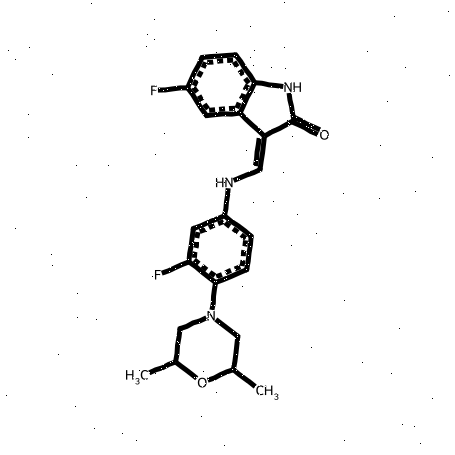 CC1CN(c2ccc(N/C=C3/C(=O)Nc4ccc(F)cc43)cc2F)CC(C)O1